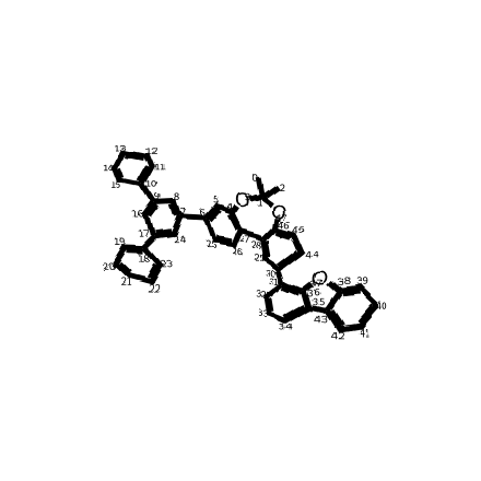 CC1(C)Oc2cc(-c3cc(-c4ccccc4)cc(-c4ccccc4)c3)ccc2-c2cc(-c3cccc4c3oc3ccccc34)ccc2O1